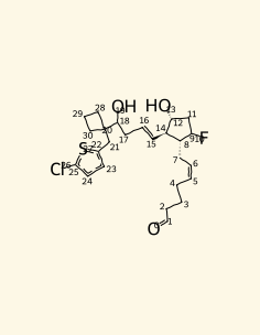 O=CCCC/C=C\C[C@H]1C(F)C[C@@H](O)[C@@H]1/C=C/CC(O)C1(Cc2ccc(Cl)s2)CCC1